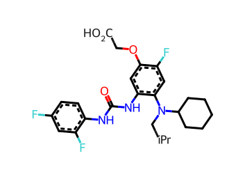 CC(C)CN(c1cc(F)c(OCC(=O)O)cc1NC(=O)Nc1ccc(F)cc1F)C1CCCCC1